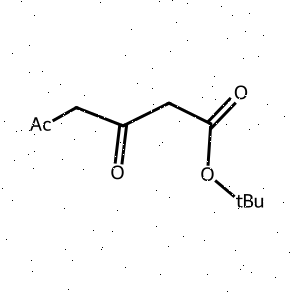 CC(=O)CC(=O)CC(=O)OC(C)(C)C